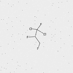 FCC(F)C(F)(Cl)Cl